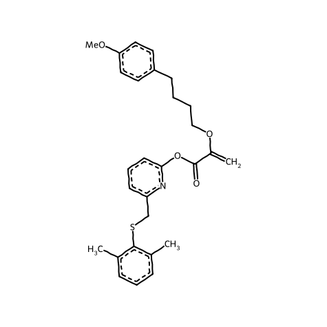 C=C(OCCCCc1ccc(OC)cc1)C(=O)Oc1cccc(CSc2c(C)cccc2C)n1